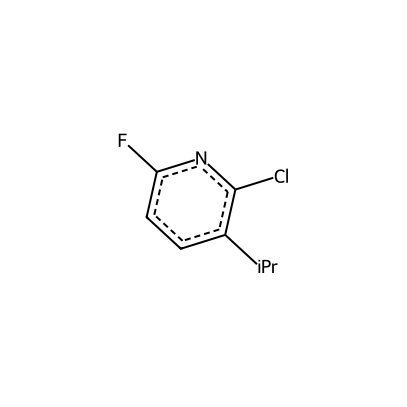 CC(C)c1ccc(F)nc1Cl